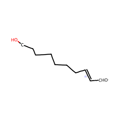 O=[C]/C=C/CCCCCCCO